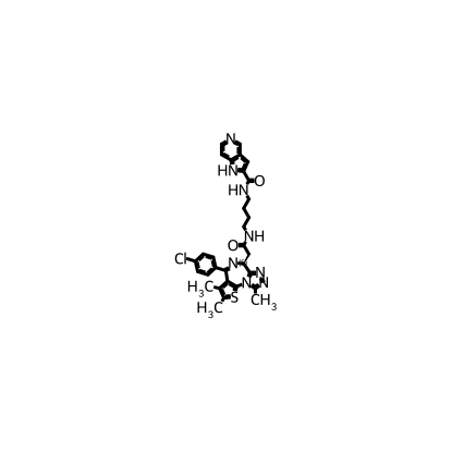 Cc1sc2c(c1C)C(c1ccc(Cl)cc1)=N[C@@H](CC(=O)NCCCCNC(=O)c1cc3cnccc3[nH]1)c1nnc(C)n1-2